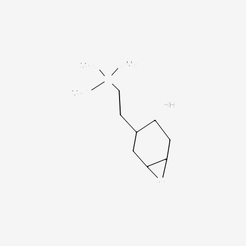 CO[Si](CCC1CCC2OC2C1)(OC)OC.[HH]